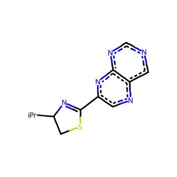 CC(C)C1CSC(c2cnc3cncnc3n2)=N1